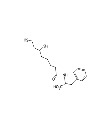 O=C(CCCCC(S)CCS)NC(Cc1ccccc1)C(=O)O